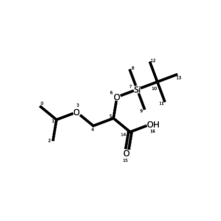 CC(C)OCC(O[Si](C)(C)C(C)(C)C)C(=O)O